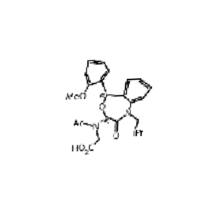 COc1ccccc1[C@@H]1O[C@@H](N(CC(=O)O)C(C)=O)C(=O)N(CC(C)C)c2ccccc21